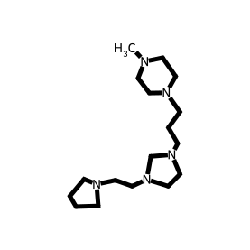 CN1CCN(CCCN2CCN(CCN3CCCC3)C2)CC1